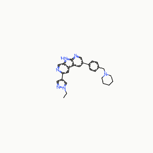 CCn1cc(-c2cc3c(cn2)[nH]c2ncc(-c4ccc(CN5CCCCC5)cc4)cc23)cn1